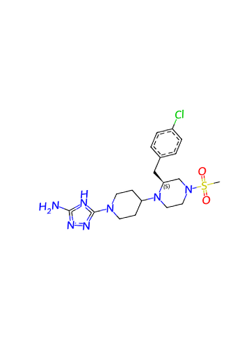 CS(=O)(=O)N1CCN(C2CCN(c3nnc(N)[nH]3)CC2)[C@@H](Cc2ccc(Cl)cc2)C1